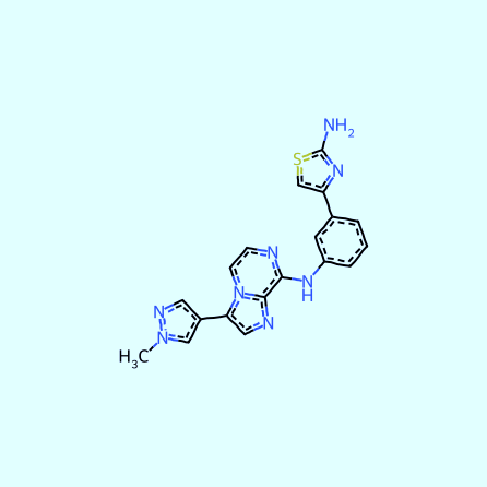 Cn1cc(-c2cnc3c(Nc4cccc(-c5csc(N)n5)c4)nccn23)cn1